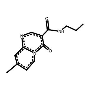 CCCNC(=O)c1cnc2cc(C)ccn2c1=O